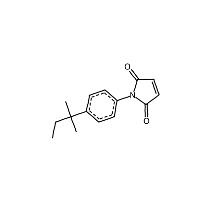 CCC(C)(C)c1ccc(N2C(=O)C=CC2=O)cc1